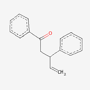 C=CC(CC(=O)c1ccccc1)c1ccccc1